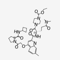 CCOC(=O)N1CCN(C(=O)[C@H](CCC(=O)N(C)C)NC(=O)c2cc(OCC(=O)N3CCC[C@H]3C(=O)NC3CCC3)c3ccc(C)cc3n2)CC1